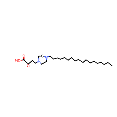 CCCCCCCCCCCCCCCCCCN1CCN(CCC(=O)C(=O)O)CC1